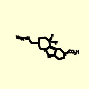 [N-]=[N+]=NCC1CCC(F)(F)c2c3c(nn2C1)CCN(C(=O)O)C3